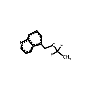 CC(F)(F)OCc1cccc2ncccc12